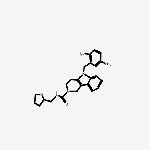 Cc1ccc(C)c(Cn2c3c(c4ccccc42)CN(C(=O)NCC2CCCO2)CC3)c1